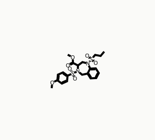 CCCS(=O)(=O)N1CC(C(=O)OC)N(S(=O)(=O)c2ccc(OC)cc2)Cc2ccccc21